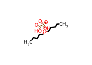 CCCCCOCCCCC.O=S(O)S(=O)(=O)O